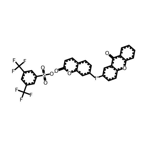 O=S(=O)([O-])c1cc(C(F)(F)F)cc(C(F)(F)F)c1.O=c1ccc2ccc([I+]c3ccc4oc5ccccc5c(=O)c4c3)cc2o1